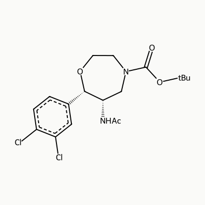 CC(=O)N[C@H]1CN(C(=O)OC(C)(C)C)CCO[C@H]1c1ccc(Cl)c(Cl)c1